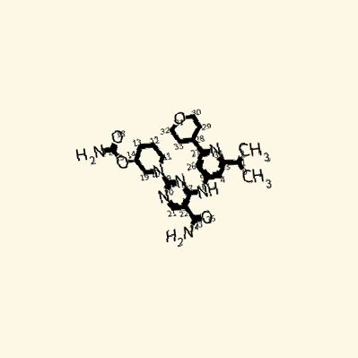 CC(C)c1cc(Nc2nc(N3CCC[C@H](OC(N)=O)C3)ncc2C(N)=O)cc(C2CCOCC2)n1